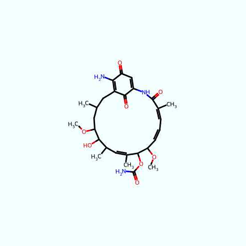 COC1/C=C\C=C(\C)C(=O)NC2=CC(=O)C(N)=C(CC(C)CC(OC)C(O)C(C)/C=C(/C)C1OC(N)=O)C2=O